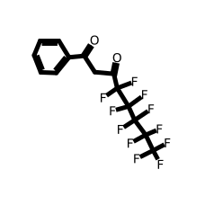 O=C(CC(=O)C(F)(F)C(F)(F)C(F)(F)C(F)(F)C(F)(F)F)c1ccccc1